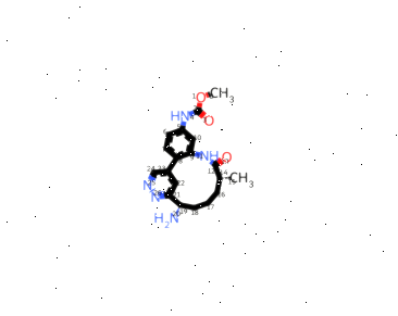 COC(=O)Nc1ccc2c(c1)NC(=O)[C@H](C)CCC[C@H](N)c1cc-2cnn1